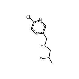 CC(F)CNCc1ccc(Cl)nc1